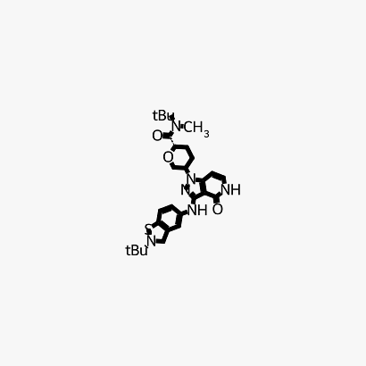 CN(C(=O)[C@@H]1CCC(n2nc(Nc3ccc4c(c3)CN(C(C)(C)C)S4)c3c(=O)[nH]ccc32)CO1)C(C)(C)C